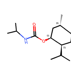 CC(C)NC(=O)O[C@H]1C[C@H](C)CC[C@H]1C(C)C